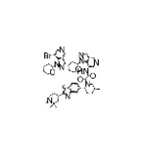 Brc1cncc2cnn(C3CCCCO3)c12.C[C@H]1CC[C@H](c2ccc3sc(C4CCN(C)C(C)(C)C4)nc3c2)N(C(=O)C(=O)Nc2cncc3cnn(C4CCCCO4)c23)C1